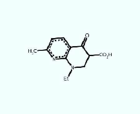 CCN1CC(C(=O)O)C(=O)c2ccc(C)nc21